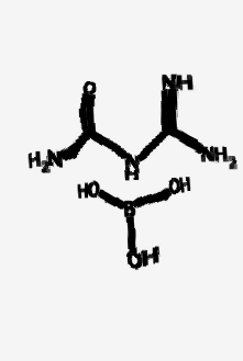 N=C(N)NC(N)=O.OB(O)O